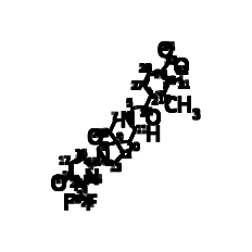 Cc1c(C(O)CN2CCC3(CC2)CCN(c2ccc(=O)n(C(F)F)n2)C3=O)ccc2c1COC2=O